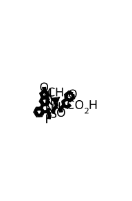 CN1C(=O)Cc2cc(-c3ccccc3-c3nc(N(C(=O)C(CC(=O)O)CC4CCOCC4)C4CC4)sc3F)cnc21